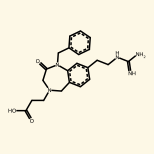 N=C(N)NCCc1ccc2c(c1)N(Cc1ccccc1)C(=O)CN(CCC(=O)O)C2